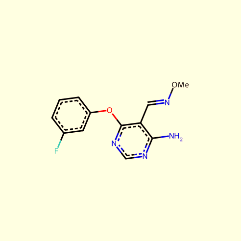 CON=Cc1c(N)ncnc1Oc1cccc(F)c1